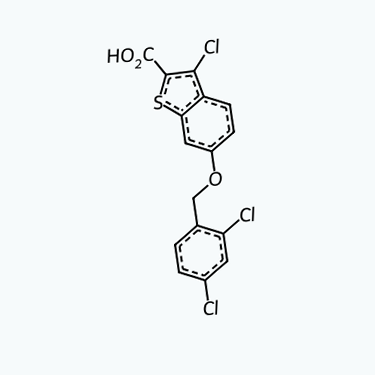 O=C(O)c1sc2cc(OCc3ccc(Cl)cc3Cl)ccc2c1Cl